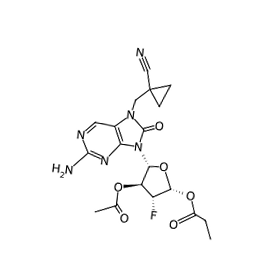 CCC(=O)O[C@H]1O[C@@H](n2c(=O)n(CC3(C#N)CC3)c3cnc(N)nc32)[C@H](OC(C)=O)[C@H]1F